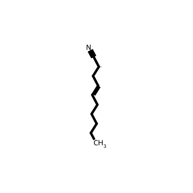 CCCCCC=CC[CH]C#N